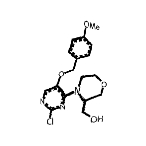 COc1ccc(COc2cnc(Cl)nc2N2CCOCC2CO)cc1